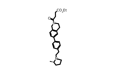 CCOC(=O)CCC(=O)N1CCc2cc(-c3ccc(CCN4CCC[C@H]4C)cc3)ccc2C1